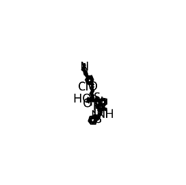 Cc1c(Nc2nc3ccccc3s2)nnc2c1CCCN2c1nc(C(=O)O)c(CCCOc2ccc(C#CCN(C)C)cc2Cl)s1